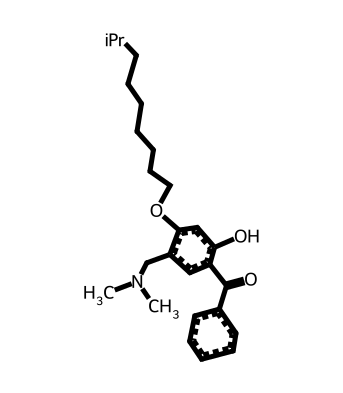 CC(C)CCCCCCCOc1cc(O)c(C(=O)c2ccccc2)cc1CN(C)C